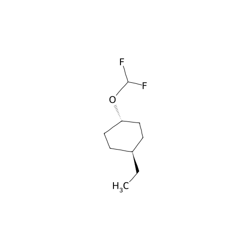 CC[C@H]1CC[C@H](OC(F)F)CC1